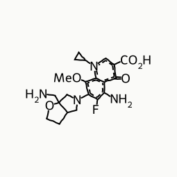 COc1c(N2CC3CCOC3(CN)C2)c(F)c(N)c2c(=O)c(C(=O)O)cn(C3CC3)c12